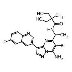 CC(NC(=O)C(C)(CO)CO)c1nc2c(-c3cnc4ccc(F)cc4c3)cnn2c(N)c1Br